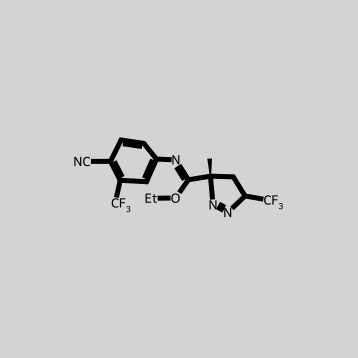 CCOC(=Nc1ccc(C#N)c(C(F)(F)F)c1)[C@]1(C)CC(C(F)(F)F)N=N1